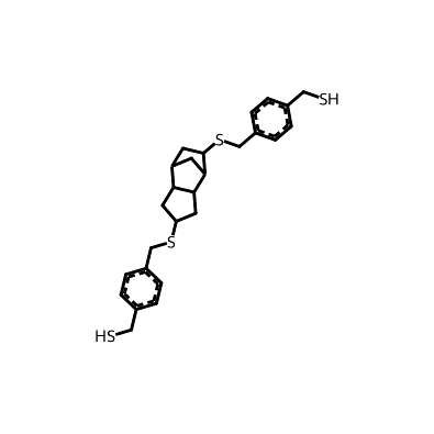 SCc1ccc(CSC2CC3C4CC(SCc5ccc(CS)cc5)C(C4)C3C2)cc1